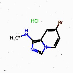 CNc1ncn2ccc(Br)cc12.Cl